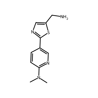 CN(C)c1ccc(-c2ncc(CN)s2)cn1